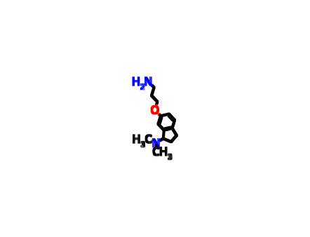 CN(C)C1CCc2ccc(OCCCN)cc21